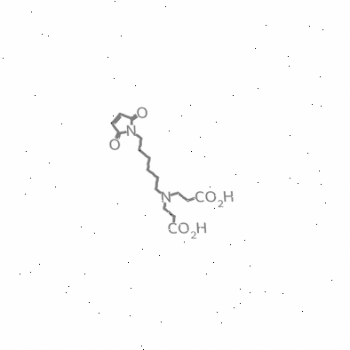 O=C(O)CCN(CCCCCCN1C(=O)C=CC1=O)CCC(=O)O